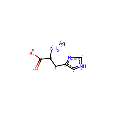 NC(Cc1c[nH]cn1)C(=O)O.[Ag]